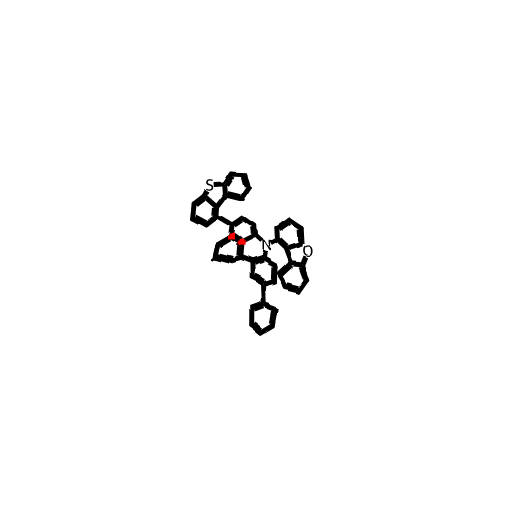 c1ccc(-c2ccc(N(c3ccc(-c4cccc5sc6ccccc6c45)cc3)c3cccc4oc5ccccc5c34)c(-c3ccccc3)c2)cc1